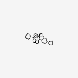 CN(OC(=O)c1ccccc1)C(=O)c1ccc(Cl)cc1Cl